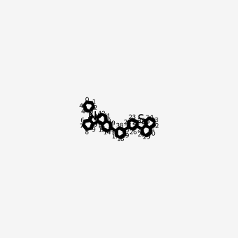 c1ccc(-n2c3ccccc3c3c4ccc(-c5cccc(-c6ccc7c(c6)-c6cccc8cccc(c68)S7)c5)cc4ccc32)cc1